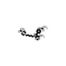 CC(=O)Nc1ccc(-c2nn(CCCCCN3CCN(C(C)=O)CC3)c3ncnc(N)c23)cc1